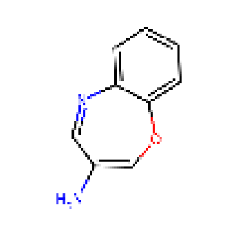 NC1=COc2ccccc2N=C1